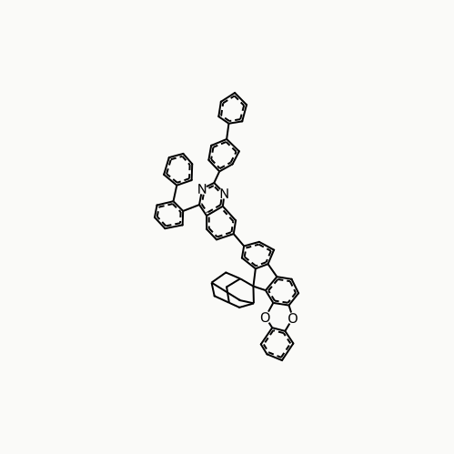 c1ccc(-c2ccc(-c3nc(-c4ccccc4-c4ccccc4)c4ccc(-c5ccc6c(c5)C5(c7c-6ccc6c7Oc7ccccc7O6)C6CC7CC(C6)CC5C7)cc4n3)cc2)cc1